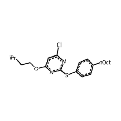 CCCCCCCCc1ccc(Sc2nc(Cl)cc(OCCC(C)C)n2)cc1